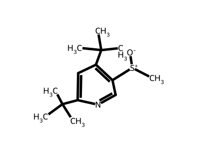 C[S+]([O-])c1cnc(C(C)(C)C)cc1C(C)(C)C